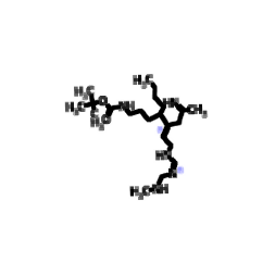 CCCCC(CCCNC(=O)OC(C)(C)C)/C(=C/CN/C=N\CNC)CC(C)=N